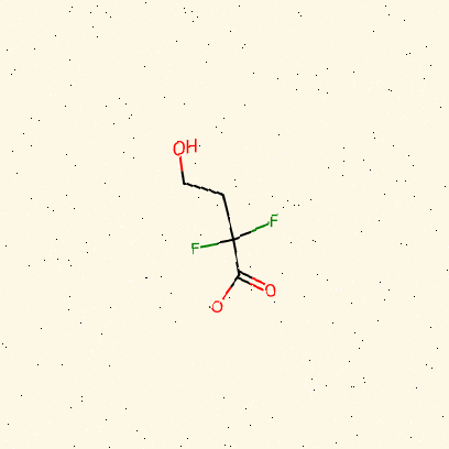 [O]C(=O)C(F)(F)CCO